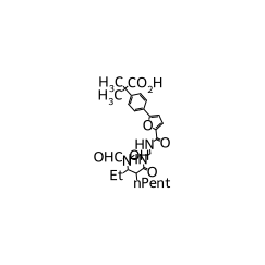 CCCCCC(C(=O)NCNC(=O)c1ccc(-c2ccc(C(C)(C)C(=O)O)cc2)o1)C(CC)N(O)C=O